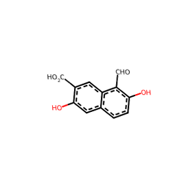 O=Cc1c(O)ccc2cc(O)c(C(=O)O)cc12